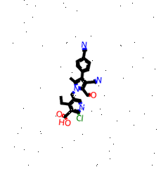 CCc1c(Cn2c(C)c(-c3ccc(C#N)cc3)c(C#N)c2C=O)cnc(Cl)c1C(=O)O